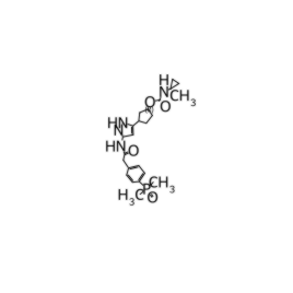 CC1(NC(=O)O[C@@H]2CCC(c3cc(NC(=O)Cc4ccc(P(C)(C)=O)cc4)n[nH]3)C2)CC1